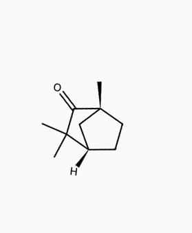 CC1(C)C(=O)[C@]2(C)CC[C@H]1C2